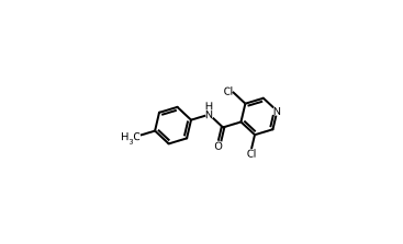 Cc1ccc(NC(=O)c2c(Cl)cncc2Cl)cc1